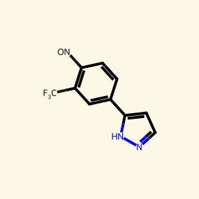 O=Nc1ccc(-c2ccn[nH]2)cc1C(F)(F)F